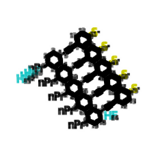 CCC[C@H]1CC[C@H](C#Cc2ccc([S])cc2)CC1.CCC[C@H]1CC[C@H](C#Cc2ccc([S])cc2)CC1.CCC[C@H]1CC[C@H](C#Cc2ccc([S])cc2)CC1.CCC[C@H]1CC[C@H](C#Cc2ccc([S])cc2)CC1.CCC[C@H]1CC[C@H](C#Cc2ccc([S])cc2)CC1.F.F.F.F.F